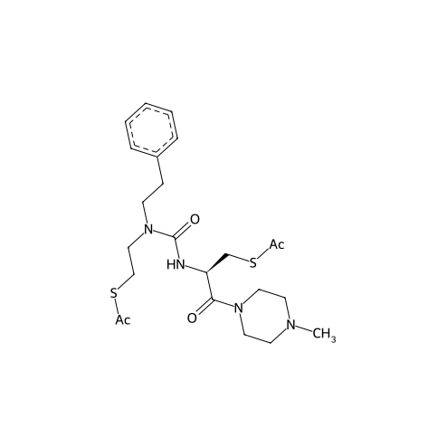 CC(=O)SCCN(CCc1ccccc1)C(=O)N[C@@H](CSC(C)=O)C(=O)N1CCN(C)CC1